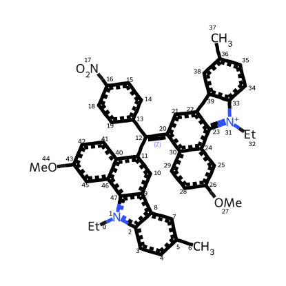 CCn1c2ccc(C)cc2c2cc(/C(c3ccc([N+](=O)[O-])cc3)=c3/cc4c(c5cc(OC)ccc35)=[N+](CC)c3ccc(C)cc3-4)c3ccc(OC)cc3c21